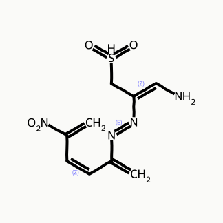 C=C(/C=C\C(=C)[N+](=O)[O-])/N=N/C(=C\N)C[SH](=O)=O